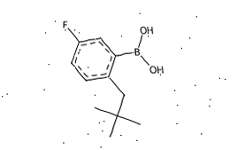 CC(C)(C)Cc1ccc(F)cc1B(O)O